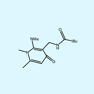 CNc1c(CNC(=O)C(C)(C)C)c(=O)cc(C)n1C